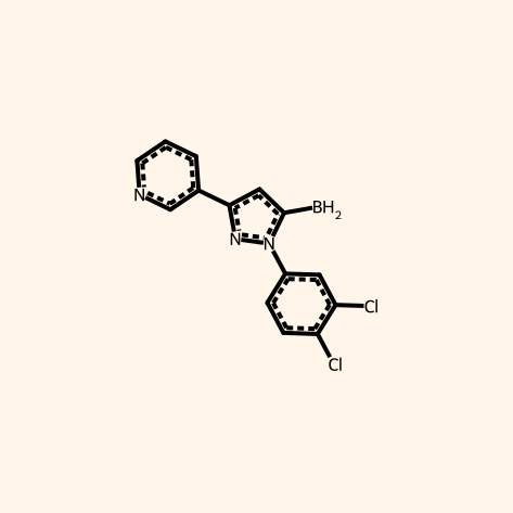 Bc1cc(-c2cccnc2)nn1-c1ccc(Cl)c(Cl)c1